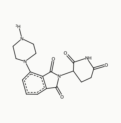 [2H]N1CCN(c2cccc3c2C(=O)N(C2CCC(=O)NC2=O)C3=O)CC1